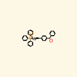 O=C(c1ccccc1)c1ccc(C#[C][Au][PH](c2ccccc2)(c2ccccc2)c2ccccc2)cc1